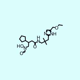 CCOCc1cnc(CC(C)(C)CNC(=O)CC(CN(O)C=O)C2CCCC2)[nH]1